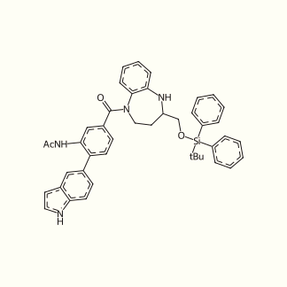 CC(=O)Nc1cc(C(=O)N2CCC(CO[Si](c3ccccc3)(c3ccccc3)C(C)(C)C)Nc3ccccc32)ccc1-c1ccc2[nH]ccc2c1